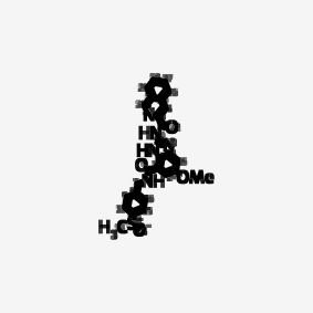 COc1cc(C(=O)NCc2ccc([S+](C)[O-])cc2)c2[nH]c(NC(=O)c3cc4ccccc4cn3)nc2c1